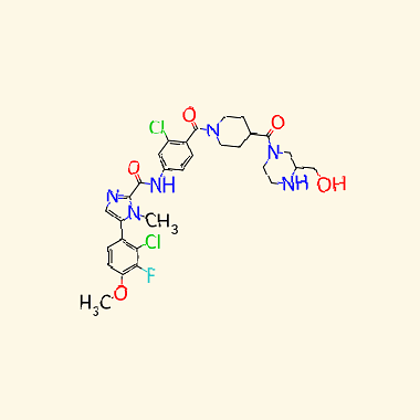 COc1ccc(-c2cnc(C(=O)Nc3ccc(C(=O)N4CCC(C(=O)N5CCNC(CO)C5)CC4)c(Cl)c3)n2C)c(Cl)c1F